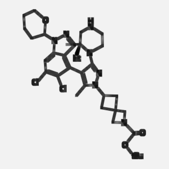 CC[C@@]1(C)CNCCN1c1nn(C2CC3(C2)CN(C(=O)OC(C)(C)C)C3)c(C)c1-c1c(Cl)c(Cl)cc2c1cnn2C1CCCCO1